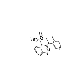 O=C(C(CO)c1ccccc1I)C(CO)c1ccccc1I